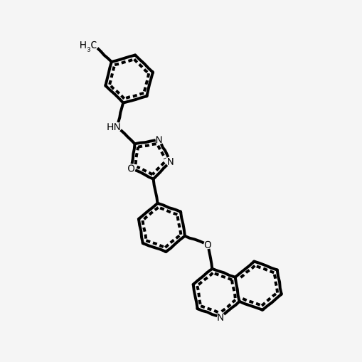 Cc1cccc(Nc2nnc(-c3cccc(Oc4ccnc5ccccc45)c3)o2)c1